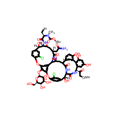 COCC(=O)[C@H]1NC(=O)[C@H]2NC(=O)[C@H](CC(=O)[C@@H]3NC(=O)[C@H](CC(N)=O)CC(=O)[C@H](NC(=O)[C@@H](CC(C)C)N(C)C(=O)OC(C)(C)C)[C@H](O)c4ccc(c(Cl)c4)Oc4cc3cc(c4O[C@@H]3O[C@H](CO)[C@@H](O)[C@H](O)[C@H]3O)Oc3ccc(cc3Cl)[C@H]2O)c2ccc(O)c(c2)-c2c(O)cc(O)cc21